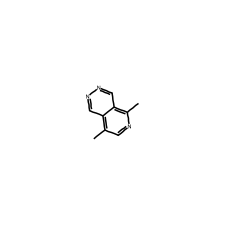 Cc1cnc(C)c2cnncc12